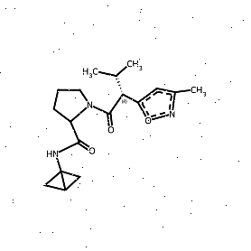 Cc1cc([C@H](C(=O)N2CCCC2C(=O)NC23CC2C3)C(C)C)on1